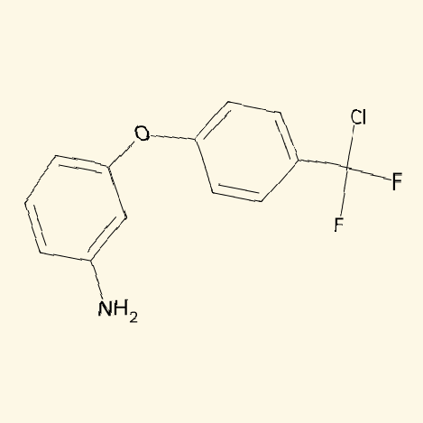 Nc1cccc(Oc2ccc(C(F)(F)Cl)cc2)c1